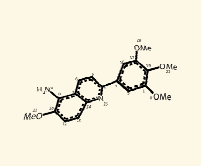 COc1cc(-c2ccc3c(N)c(OC)ccc3n2)cc(OC)c1OC